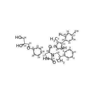 Cc1nc([C@H]([C@H](C)c2ccccc2)N2C(=O)N[C@H](c3ccc(OC[C@@H](O)CO)cc3)C2=O)[nH]c1-c1ccc(I)cc1F